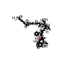 CC(=O)O[C@H]1C[C@@]2(C)C([C@H](O)[C@]3(O)C[C@H](OC(=O)[C@@H](Cc4ccccc4)OC(=O)CCC(NC(C)C)C(C)(C)NC(CCO)C(=O)NC(CCC(=O)NCCSC4CC(=O)N(CCCCCC(N)=O)C4=O)C(C)=O)C(C)=C1C3(C)C)[C@]1(O)CO[C@@H]1C[C@@H]2O